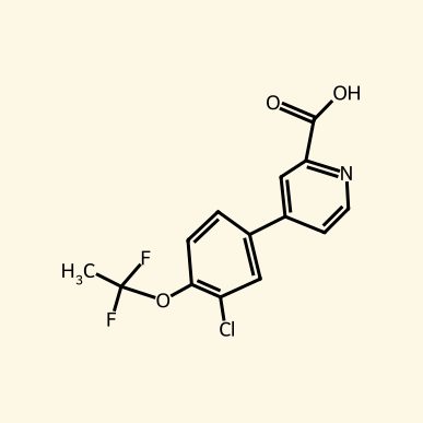 CC(F)(F)Oc1ccc(-c2ccnc(C(=O)O)c2)cc1Cl